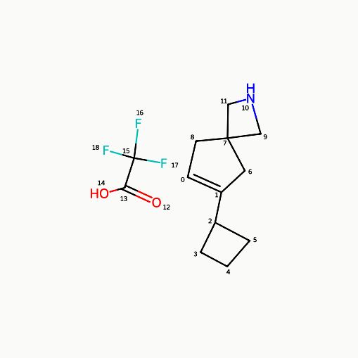 C1=C(C2CCC2)CC2(C1)CNC2.O=C(O)C(F)(F)F